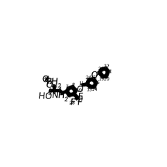 NC(CO)(CCc1ccc(OCc2cccc(Oc3ccccc3)c2)c(C(F)(F)F)c1)CO[PH2]=O